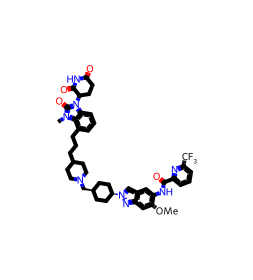 COc1cc2nn([C@H]3CC[C@H](CN4CCC(CCCc5cccc6c5n(C)c(=O)n6C5CCC(=O)NC5=O)CC4)CC3)cc2cc1NC(=O)c1cccc(C(F)(F)F)n1